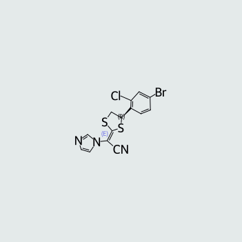 N#C/C(=C1/SC[C@@H](c2ccc(Br)cc2Cl)S1)n1ccnc1